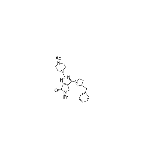 CC(=O)N1CCN(c2nc3c(c(N4CCC(Cc5ccccc5)C4)n2)CN(C(C)C)C3=O)CC1